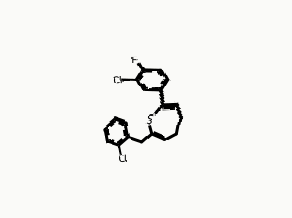 Fc1ccc(C2=CCCC=C(Cc3ccccc3Cl)S2)cc1Cl